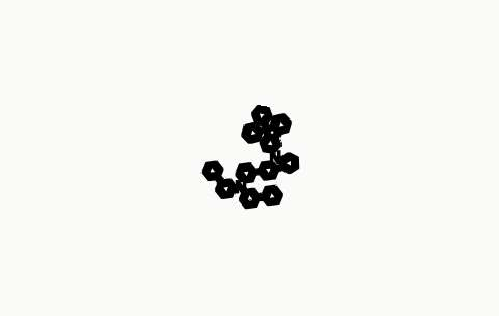 c1ccc(-c2cccc(N(c3cccc(-c4ccccc4)c3)c3cccc(-c4ccc5c6ccccc6n(-c6ccc7c(c6)-c6ccccc6C7(c6ccccc6)c6ccccc6)c5c4)c3)c2)cc1